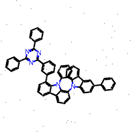 c1ccc(-c2ccc3c(c2)c2ccccc2n3-c2cccc3c4cccc(-c5cccc(-c6nc(-c7ccccc7)nc(-c7ccccc7)n6)c5)c4n(-c4ccccc4)c23)cc1